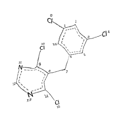 Clc1cc(Cl)cc(Cc2c(Cl)ncnc2Cl)c1